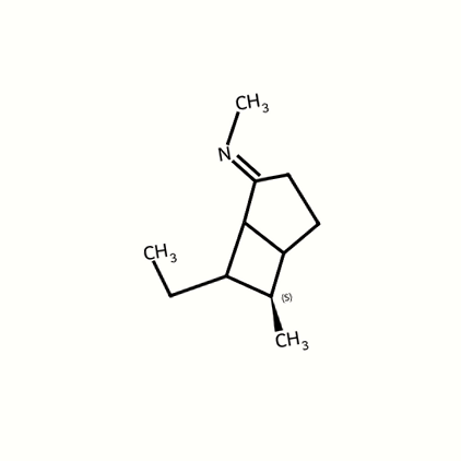 CCC1C2C(=NC)CCC2[C@H]1C